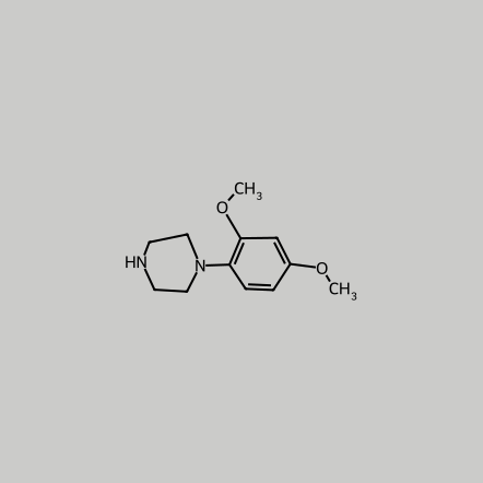 COc1ccc(N2CCNCC2)c(OC)c1